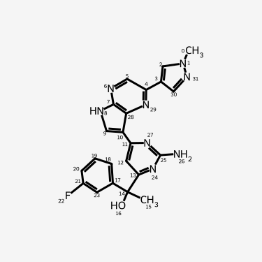 Cn1cc(-c2cnc3[nH]cc(-c4cc(C(C)(O)c5cccc(F)c5)nc(N)n4)c3n2)cn1